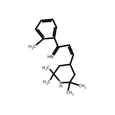 Cc1ccccc1C(=N)/C=C\C1CC(C)(C)NC(C)(C)C1